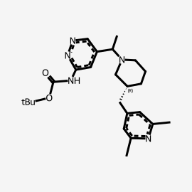 Cc1cc(C[C@H]2CCCN(C(C)c3cnnc(NC(=O)OC(C)(C)C)c3)C2)cc(C)n1